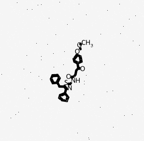 COCOc1ccc(C(=O)CCC(=O)Nc2nc(-c3ccccc3)c(Cc3ccccc3)s2)cc1